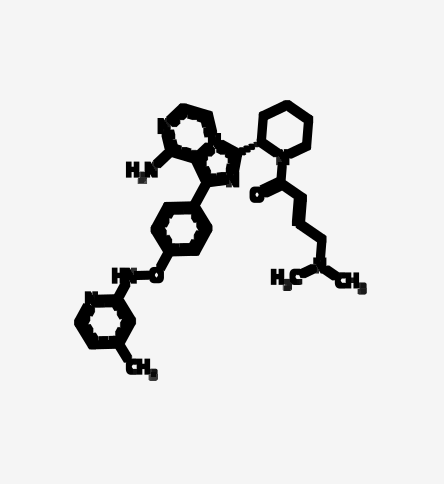 Cc1ccnc(NOc2ccc(-c3nc([C@@H]4CCCCN4C(=O)/C=C/CN(C)C)n4ccnc(N)c34)cc2)c1